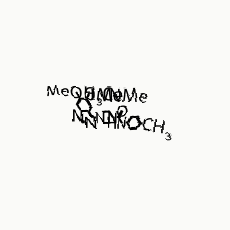 CNC.COc1cc2ncnc(N3CCN(C(=O)Nc4ccc(C)cc4)CC3)c2cc1OC